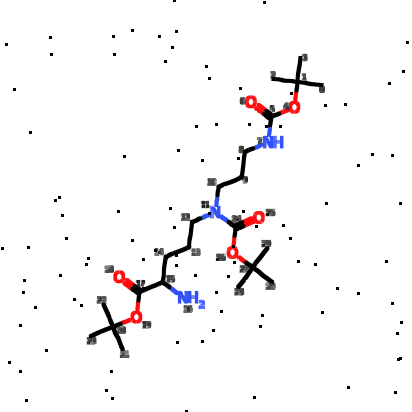 CC(C)(C)OC(=O)NCCCN(CCCC(N)C(=O)OC(C)(C)C)C(=O)OC(C)(C)C